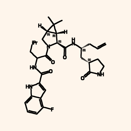 C=CC[C@H](C[C@@H]1CCNC1=O)NC(=O)[C@@H]1[C@@H]2[C@H](CN1C(=O)C(CC(C)C)NC(=O)c1cc3c(F)cccc3[nH]1)C2(C)C